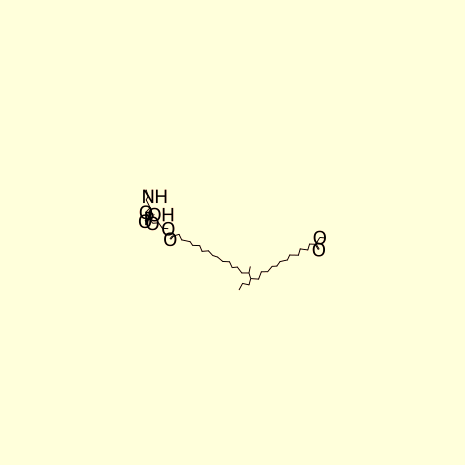 CCCC(CCCCCCCCCCCCC(=O)OC)C(C)CCCCCCCCCCCCCCC(=O)OCCOP(=O)(O)OCCNC